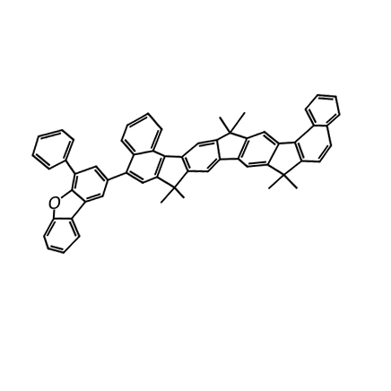 CC1(C)c2cc3c(cc2-c2cc4c(cc21)-c1c(cc(-c2cc(-c5ccccc5)c5oc6ccccc6c5c2)c2ccccc12)C4(C)C)C(C)(C)c1ccc2ccccc2c1-3